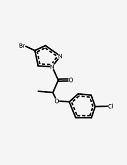 CC(Oc1ccc(Cl)cc1)C(=O)n1cc(Br)cn1